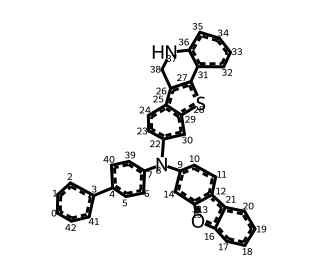 c1ccc(-c2ccc(N(c3ccc4c(c3)oc3ccccc34)c3ccc4c5c(sc4c3)-c3ccccc3NC5)cc2)cc1